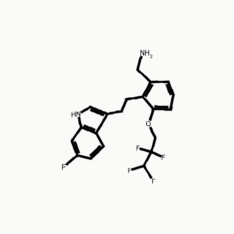 NCc1cccc(OCC(F)(F)C(F)F)c1CCc1c[nH]c2cc(F)ccc12